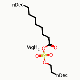 CCCCCCCCCCCCCCCCCC(=O)OS(=O)(=O)OCCCCCCCCCCCC.[MgH2]